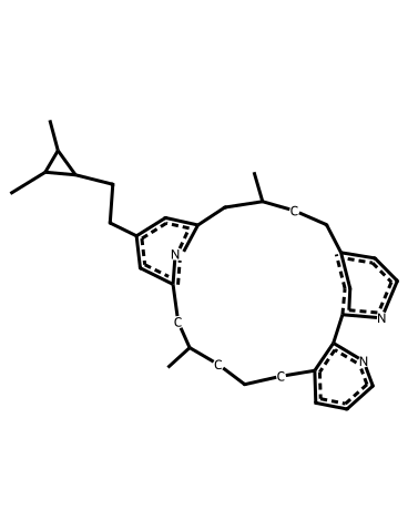 CC1CCCc2cccnc2-c2cc(ccn2)CCC(C)Cc2cc(CCC3C(C)C3C)cc(n2)C1